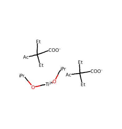 CC(C)[O][Ti+2][O]C(C)C.CCC(CC)(C(C)=O)C(=O)[O-].CCC(CC)(C(C)=O)C(=O)[O-]